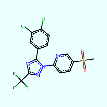 CS(=O)(=O)c1ccc(-n2nc(C(F)(F)F)nc2-c2ccc(Cl)c(Cl)c2)nc1